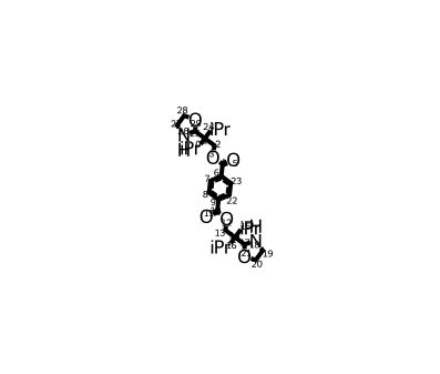 CC(C)C(COC(=O)c1ccc(C(=O)OCC(C(C)C)(C(C)C)C2NCCO2)cc1)(C(C)C)C1NCCO1